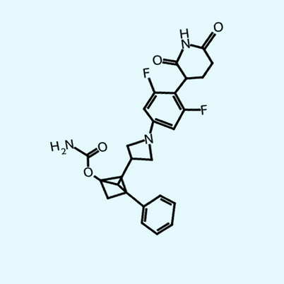 NC(=O)OC12CC(c3ccccc3)(C1)C2C1CN(c2cc(F)c(C3CCC(=O)NC3=O)c(F)c2)C1